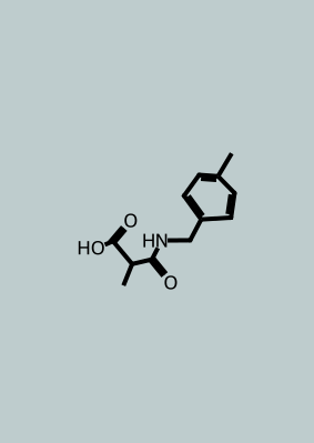 Cc1ccc(CNC(=O)C(C)C(=O)O)cc1